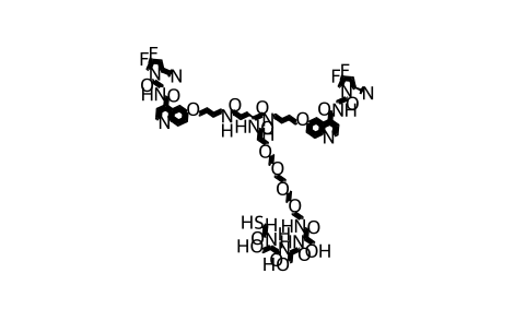 N#CC1CC(F)(F)CN1C(=O)CNC(=O)c1ccnc2ccc(OCCCCNC(=O)CC[C@H](NC(=O)CCOCCOCCOCCOCCNC(=O)C(CO)NC(=O)C(CO)NC(=O)C(CO)NC(=O)CS)C(=O)NCCCCOc3ccc4nccc(C(=O)NCC(=O)N5CC(F)(F)C[C@H]5C#N)c4c3)cc12